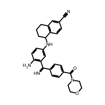 N#Cc1ccc2c(c1)CCCC2Nc1ccc(N)c(C(=N)c2ccc(C(=O)N3CCOCC3)cc2)c1